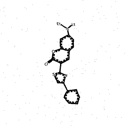 CCN(CC)c1ccc2cc(-c3nc(-c4ccccc4)cs3)c(=O)oc2c1